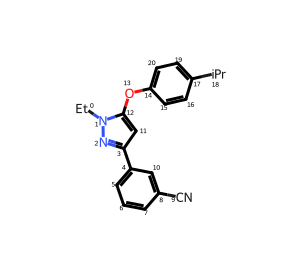 CCn1nc(-c2cccc(C#N)c2)cc1Oc1ccc(C(C)C)cc1